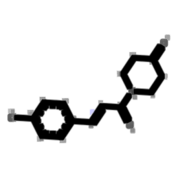 O=C1CCN(C(=O)/C=C/c2ccc(Cl)cc2)CC1